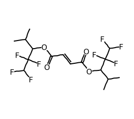 CC(C)C(OC(=O)/C=C/C(=O)OC(C(C)C)C(F)(F)C(F)F)C(F)(F)C(F)F